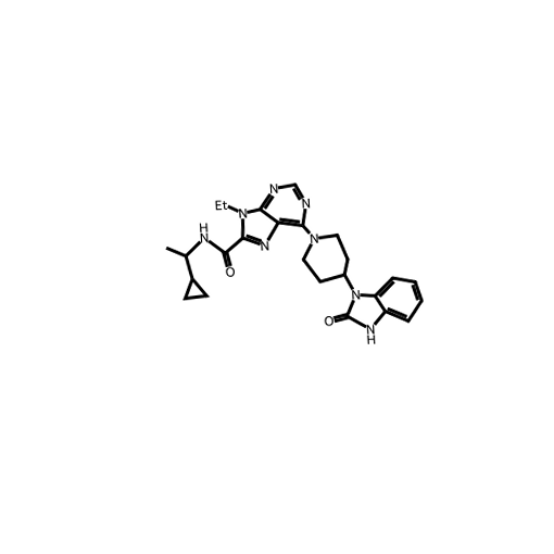 CCn1c(C(=O)NC(C)C2CC2)nc2c(N3CCC(n4c(=O)[nH]c5ccccc54)CC3)ncnc21